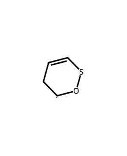 [C]1CC=CSO1